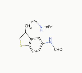 CC1CSc2ccc(NC=O)cc21.CCCNCCC